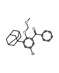 COCOc1c(C(=O)c2ccccc2)cc(Br)cc1C12CC3CC(CC(C3)C1)C2